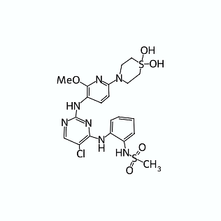 COc1nc(N2CCS(O)(O)CC2)ccc1Nc1ncc(Cl)c(Nc2ccccc2NS(C)(=O)=O)n1